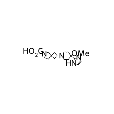 COC1(c2ncc[nH]2)CCN(C2CC3(CCN(C(=O)O)C3)C2)CC1